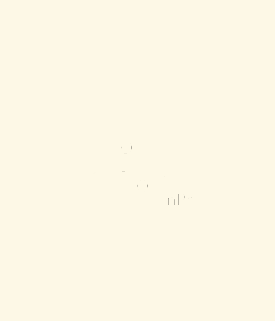 C=CC(=O)OC1(CCC)CCC(C)C1